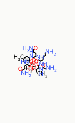 CCC(C)C(NC(=O)CN)C(=O)NC(CCCCN)C(=O)NC(CCC(N)=O)C(=O)NC(CC(C)C)C(=O)NC(CCC(N)=O)C(=O)O